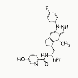 CCCC(C[C@H]1CCC2=C1[C@@H](C)C1=CNN(c3ccc(F)cc3)C1=C2)NC(=O)c1ccc(O)cn1